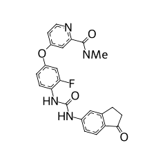 CNC(=O)c1cc(Oc2ccc(NC(=O)Nc3ccc4c(c3)CCC4=O)c(F)c2)ccn1